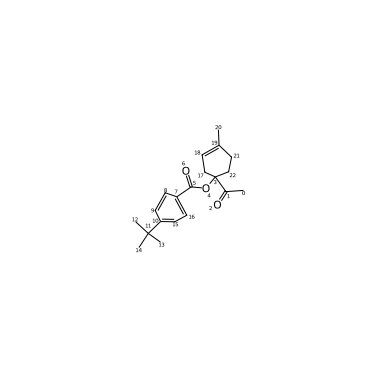 CC(=O)C1(OC(=O)c2ccc(C(C)(C)C)cc2)CC=C(C)CC1